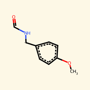 COc1ccc([CH]NC=O)cc1